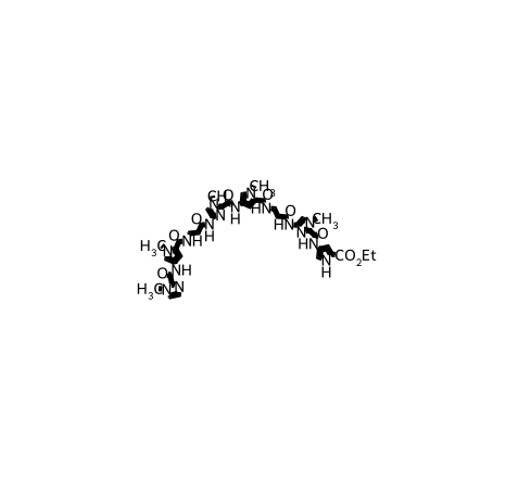 CCOC(=O)c1cc(NC(=O)c2nc(NC(=O)CCNC(=O)c3cc(NC(=O)c4nc(NC(=O)CCNC(=O)c5cc(NC(=O)c6nccn6C)cn5C)cn4C)cn3C)cn2C)c[nH]1